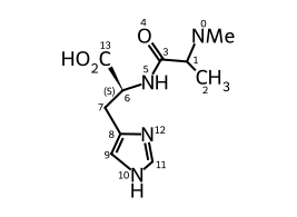 CNC(C)C(=O)N[C@@H](Cc1c[nH]cn1)C(=O)O